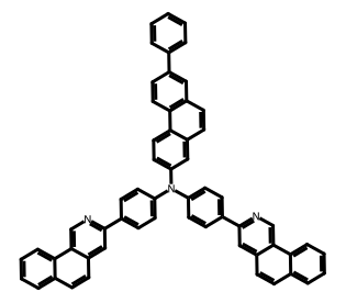 c1ccc(-c2ccc3c(ccc4cc(N(c5ccc(-c6cc7ccc8ccccc8c7cn6)cc5)c5ccc(-c6cc7ccc8ccccc8c7cn6)cc5)ccc43)c2)cc1